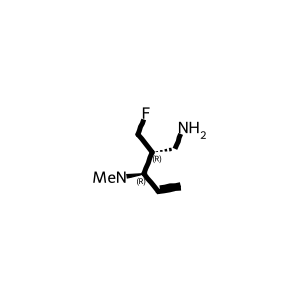 C=C[C@@H](NC)[C@@H](CN)CF